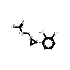 CCCc1c(O)cccc1[C@@H]1C[C@H]1CNC(=O)CC